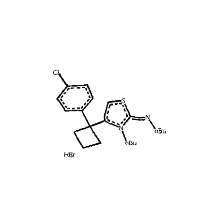 Br.CCCCN=c1scc(C2(c3ccc(Cl)cc3)CCC2)n1CCCC